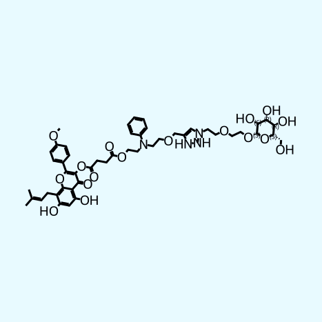 COc1ccc(-c2oc3c(CC=C(C)C)c(O)cc(O)c3c(=O)c2OC(=O)CCC(=O)OCCN(CCOCC2=CN(CCOCCO[C@H]3O[C@@H](CO)[C@H](O)[C@@H](O)[C@@H]3O)NN2)c2ccccc2)cc1